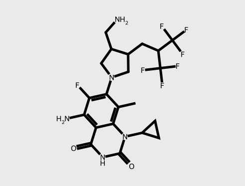 Cc1c(N2CC(CN)C(CC(C(F)(F)F)C(F)(F)F)C2)c(F)c(N)c2c(=O)[nH]c(=O)n(C3CC3)c12